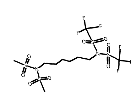 CS(=O)(=O)N(CCCCCCN(S(=O)(=O)C(F)(F)F)S(=O)(=O)C(F)(F)F)S(C)(=O)=O